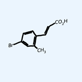 Cc1cc(Br)ccc1C=CC(=O)O